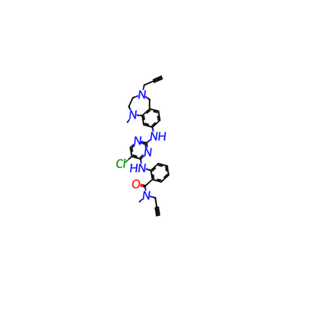 C#CCN1CCN(C)c2cc(Nc3ncc(Cl)c(Nc4ccccc4C(=O)N(C)CC#C)n3)ccc2C1